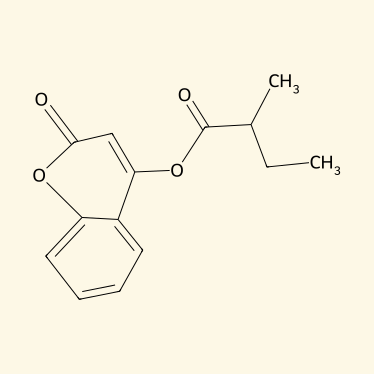 CCC(C)C(=O)Oc1cc(=O)oc2ccccc12